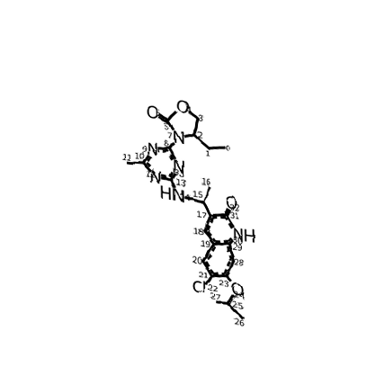 CCC1COC(=O)N1c1nc(C)nc(N[C@@H](C)c2cc3cc(Cl)c(OC(C)C)cc3[nH]c2=O)n1